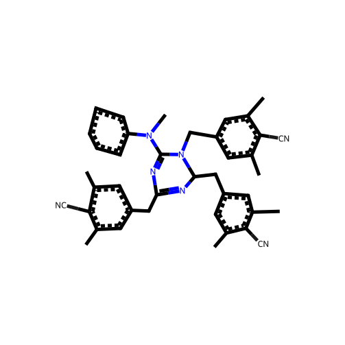 Cc1cc(CC2=NC(Cc3cc(C)c(C#N)c(C)c3)N(Cc3cc(C)c(C#N)c(C)c3)C(N(C)c3ccccc3)=N2)cc(C)c1C#N